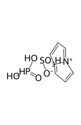 C1=CC2=CC=C[N+]2=C1.O=S(=O)([O-])O.O=[PH](O)O